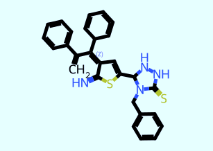 C=C(/C(=C1/C=C(C2NNC(=S)N2Cc2ccccc2)SC1=N)C1C=C=CC=C1)c1ccccc1